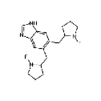 FN1CCCC1Cc1cc2nc[nH]c2cc1CC1CCCN1F